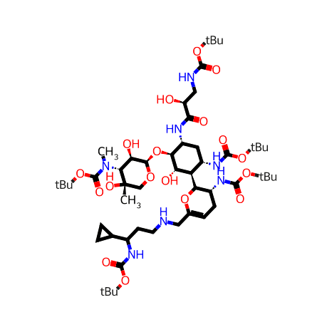 CN(C(=O)OC(C)(C)C)[C@@H]1[C@@H](O)[C@@H](O[C@@H]2[C@@H](O)[C@H](C3OC(CNCCC(NC(=O)OC(C)(C)C)C4CC4)=CC[C@H]3NC(=O)OC(C)(C)C)[C@@H](NC(=O)OC(C)(C)C)C[C@H]2NC(=O)[C@@H](O)CNC(=O)OC(C)(C)C)OC[C@]1(C)O